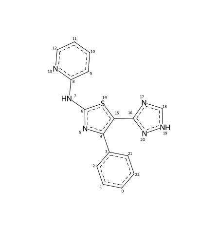 c1ccc(-c2nc(Nc3ccccn3)sc2-c2nc[nH]n2)cc1